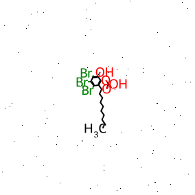 CCCCCCCCCCc1c(Br)c(Br)c(Br)c(O)c1OC(=O)O